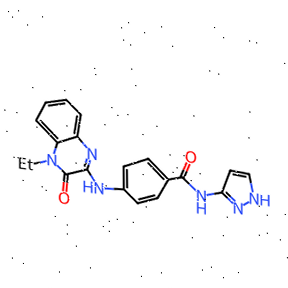 CCn1c(=O)c(Nc2ccc(C(=O)Nc3cc[nH]n3)cc2)nc2ccccc21